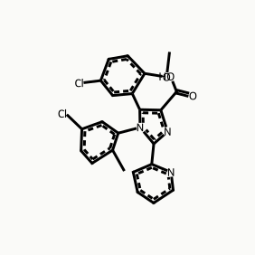 COc1ccc(Cl)cc1-c1c(C(=O)O)nc(-c2ccccn2)n1-c1cc(Cl)ccc1C